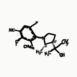 COc1c(F)c(C#N)cc(F)c1N1CC[C@H](C(C)(C)O)[C@@H]1C